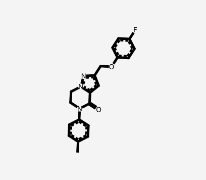 Cc1ccc(N2CCn3nc(COc4ccc(F)cc4)cc3C2=O)cc1